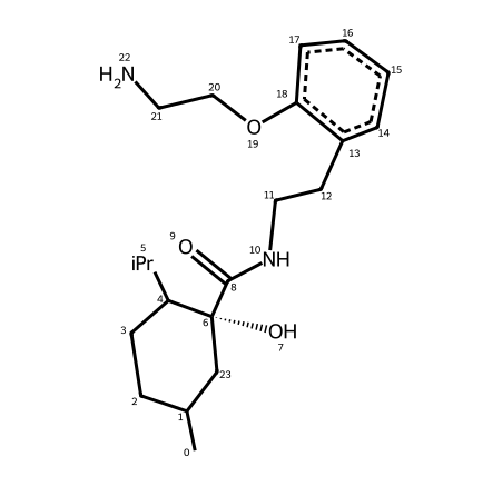 CC1CCC(C(C)C)[C@@](O)(C(=O)NCCc2ccccc2OCCN)C1